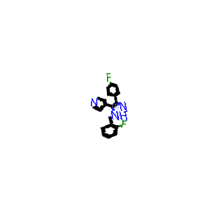 C=N/C(=C(\NCc1ccccc1F)c1ccncc1)c1ccc(F)cc1